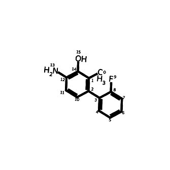 Cc1c(-c2ccccc2F)ccc(N)c1O